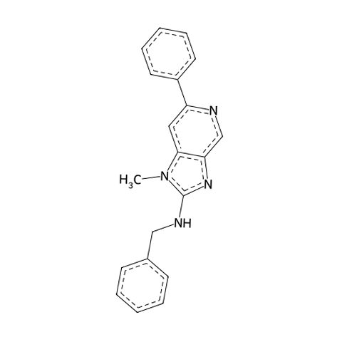 Cn1c(NCc2ccccc2)nc2cnc(-c3ccccc3)cc21